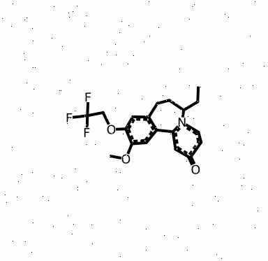 CCC1CCc2cc(OCC(F)(F)F)c(OC)cc2-c2cc(=O)ccn21